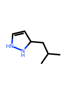 CC(C)CC1C=CNN1